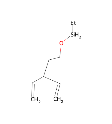 C=CC(C=C)CCO[SiH2]CC